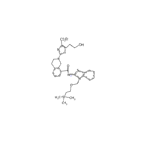 CCOC(=O)c1nc(N2CCc3cccc(C(=O)/N=c4\sc5ccccc5n4COCC[Si](C)(C)C)c3C2)sc1CCO